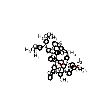 Cc1cc2c3c(c1)-n1c4c(cccc4c4oc5ccccc5c41)B3c1ccc(N(c3ccc(C(C)(C)C)cc3)c3ccc(C(C)(C)Cc4ccc5c(c4)sc4cccc(N6c7cc(N(c8ccc(C(C)(C)C)cc8)c8ccc(C(C)(C)C)cc8)ccc7B7c8c6cc(C)cc8-n6c8c7cccc8c7oc8ccccc8c76)c45)cc3)cc1N2c1cccc2c1sc1ccccc12